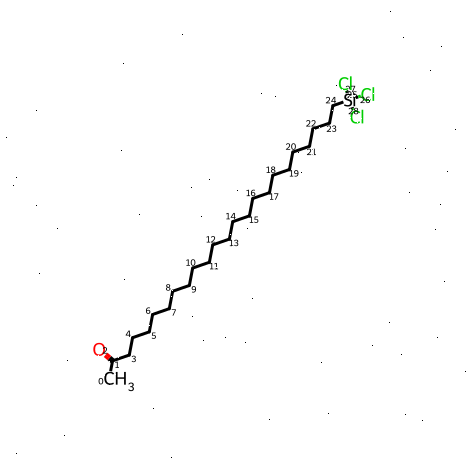 CC(=O)CCCCCCCCCCCCCCCCCCCCCC[Si](Cl)(Cl)Cl